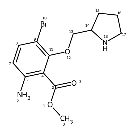 COC(=O)c1c(N)ccc(Br)c1OCC1CCCN1